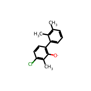 Cc1cccc(-c2ccc(Cl)c(C)c2[O])c1C